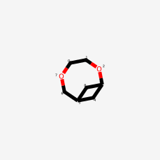 C1COC2CC(CO1)C2